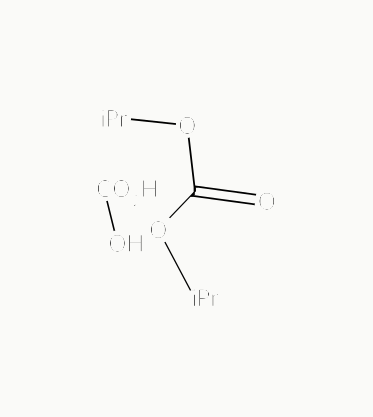 CC(C)OC(=O)OC(C)C.O=C(O)O